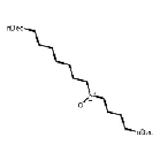 CCCCCCCCCCCCCCCCC[NH+]([O-])CCCCCCCCCCCCCC